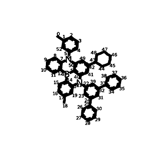 Cc1cccc(N2c3ccccc3B3c4ccc(C)cc4N(c4cc(-c5ccccc5)cc(-c5ccccc5)c4)c4cc(C5CCCCC5)cc2c43)c1